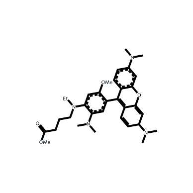 CCN(CCCC(=O)OC)c1cc(OC)c(C2=C3C=CC(N(C)C)C=C3Oc3cc(N(C)C)ccc32)cc1N(C)C